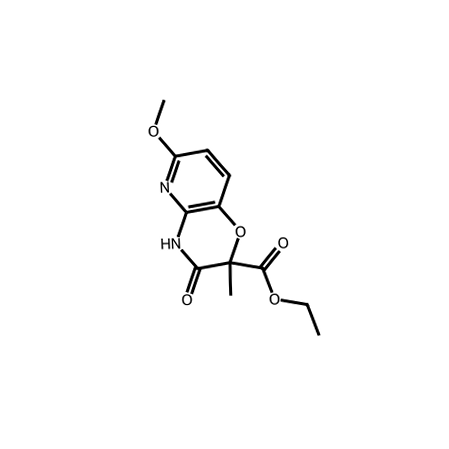 CCOC(=O)C1(C)Oc2ccc(OC)nc2NC1=O